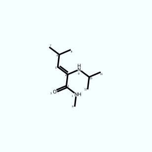 CNC(=O)/C(=C/C(C)C)NC(C)C